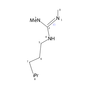 C/N=C(\NC)NCCCC(C)C